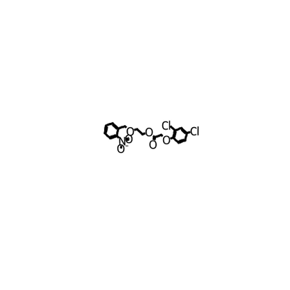 O=C(COc1ccc(Cl)cc1Cl)OCCOCc1ccccc1[N+](=O)[O-]